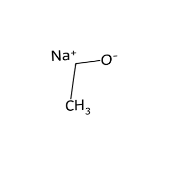 CC[O-].[Na+]